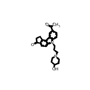 CC(=O)c1ccc2c(c1)c1c3c(ccc1n2CCCN1CCC(O)CC1)C(=O)CC3